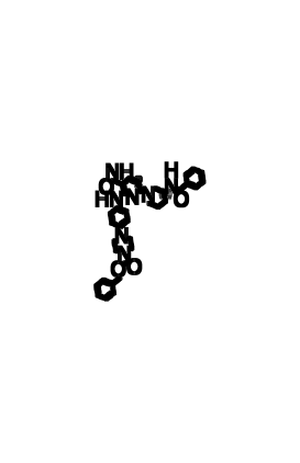 NC(=O)c1ccc(N2CCC[C@@H](NC(=O)c3ccccc3)C2)nc1Nc1ccc(N2CCN(C(=O)OCc3ccccc3)CC2)cc1